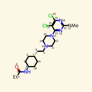 CCC(=O)N[C@H]1CC[C@H](CCN2CCN(c3nc(NC)nc(Cl)c3Cl)CC2)CC1